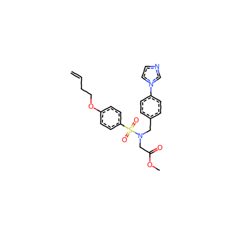 C=CCCOc1ccc(S(=O)(=O)N(CC(=O)OC)Cc2ccc(-n3ccnc3)cc2)cc1